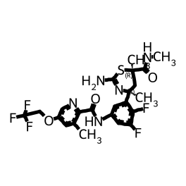 CNC(=O)[C@@]1(C)C[C@@](C)(c2cc(NC(=O)c3ncc(OCC(F)(F)F)cc3C)cc(F)c2F)N=C(N)S1